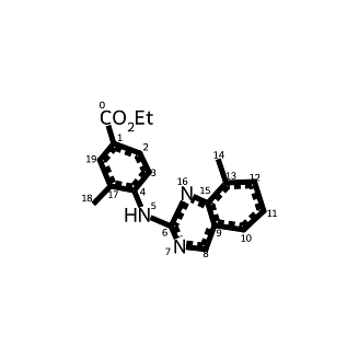 CCOC(=O)c1ccc(Nc2ncc3cccc(C)c3n2)c(C)c1